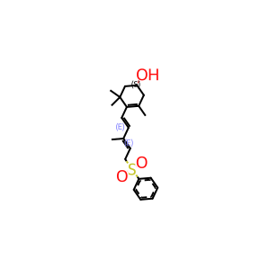 CC1=C(/C=C/C(C)=C/CS(=O)(=O)c2ccccc2)C(C)(C)C[C@H](O)C1